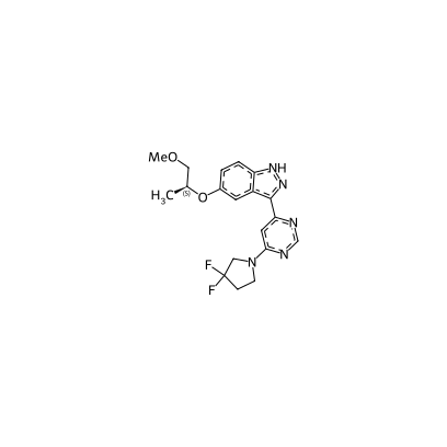 COC[C@H](C)Oc1ccc2[nH]nc(-c3cc(N4CCC(F)(F)C4)ncn3)c2c1